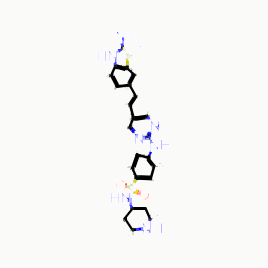 NC1Nc2ccc(/C=C/c3cnc(Nc4ccc(S(=O)(=O)NC5CCNCC5)cc4)nc3)cc2S1